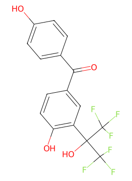 O=C(c1ccc(O)cc1)c1ccc(O)c(C(O)(C(F)(F)F)C(F)(F)F)c1